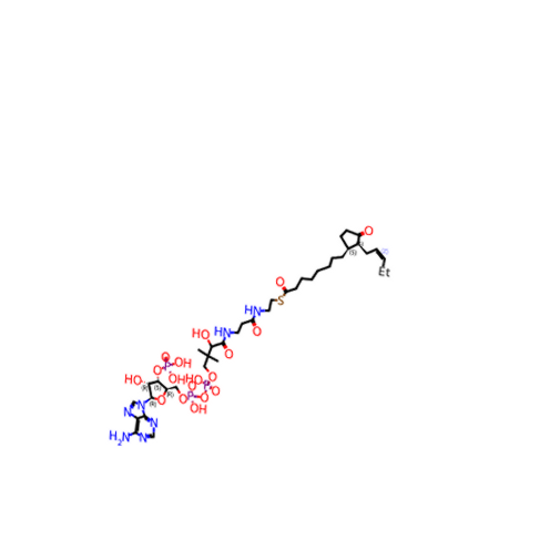 CC/C=C\C[C@@H]1C(=O)CC[C@@H]1CCCCCCCC(=O)SCCNC(=O)CCNC(=O)C(O)C(C)(C)COP(=O)(O)OP(=O)(O)OC[C@H]1O[C@@H](n2cnc3c(N)ncnc32)[C@H](O)[C@@H]1OP(=O)(O)O